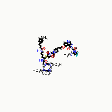 C/N=C/[C@H]1CC(F)(F)CN1C(=O)CNC(=O)c1ccnc2ccc(OCCCC3CCN(C(=O)CN4C(=O)CC(SCC(CCCCNC(=O)CCCc5ccc(C)cc5)NC(=O)CN5CCN(CC(=O)O)CCN(CC(=O)O)CCN(CC(=O)O)CC5)C4=O)CC3)cc12